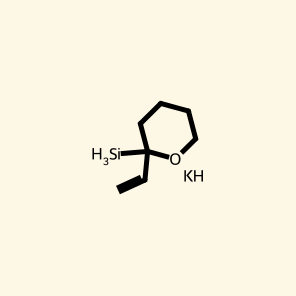 C=CC1([SiH3])CCCCO1.[KH]